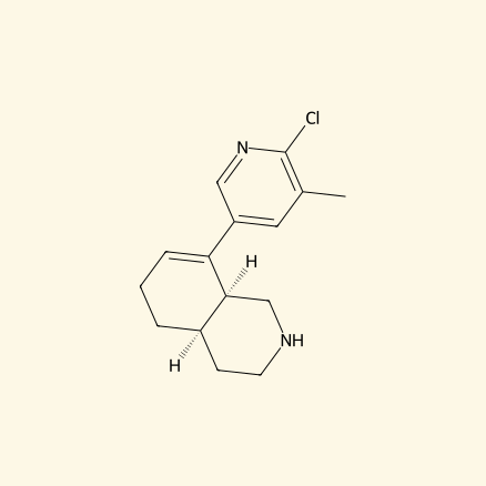 Cc1cc(C2=CCC[C@@H]3CCNC[C@H]23)cnc1Cl